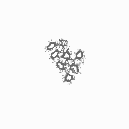 Cc1cc2c(cc1B1c3cncnc3N(c3ccccc3)c3cccc(C)c31)B1c3ccccc3N(c3ccccc3)c3nccc(c31)N2c1ccccc1